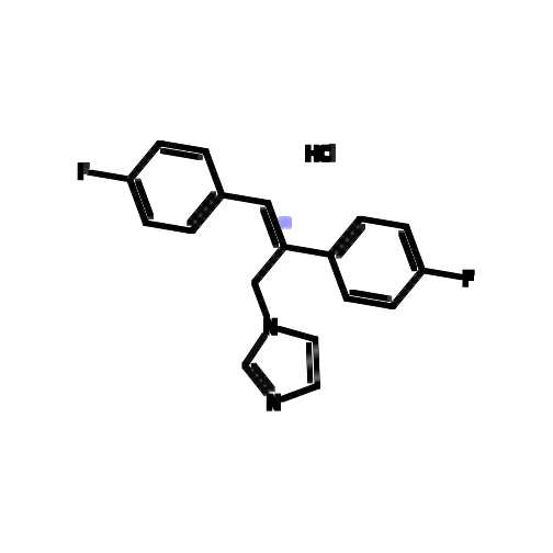 Cl.Fc1ccc(/C=C(\Cn2ccnc2)c2ccc(F)cc2)cc1